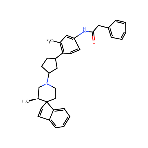 C[C@H]1CN(C2CCC(c3ccc(NC(=O)Cc4ccccc4)cc3C(F)(F)F)C2)CCC12C=Cc1ccccc12